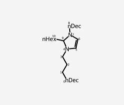 CCCCCCCCCCCCCN1C=CN(CCCCCCCCCC)C1CCCCCC